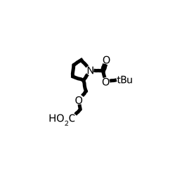 CC(C)(C)OC(=O)N1CCCC1COCC(=O)O